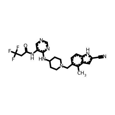 Cc1c(CN2CCC(Nc3ncncc3NC(=O)CC(F)(F)F)CC2)ccc2[nH]c(C#N)cc12